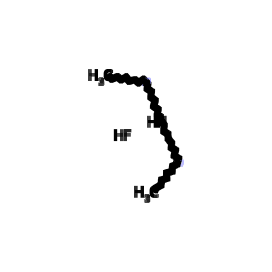 CCCCCCCC/C=C\CCCCCCCCNCCCCCCCC/C=C\CCCCCCCC.F